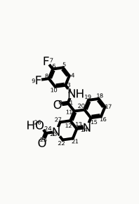 O=C(Nc1ccc(F)c(F)c1)c1c2c(nc3ccccc13)CCN(C(=O)O)C2